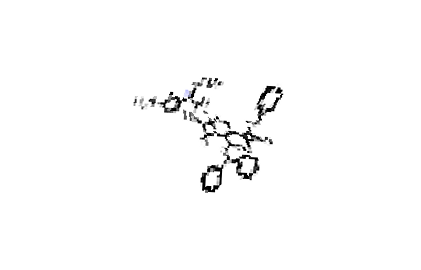 CO/N=C(\C(=O)NC1C(=O)N2C(C(=O)OC(c3ccccc3)c3ccccc3)=C(c3c(OCc4ccccc4)c(=O)c3=O)CS[C@@H]12)c1csc(N)n1